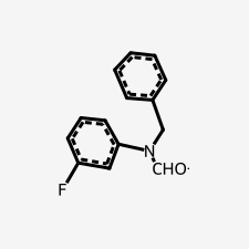 O=[C]N(Cc1ccccc1)c1cccc(F)c1